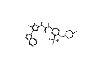 CN1CCN(Cc2ccc(NC(=O)Nc3cc(-c4cnc5cnccn45)n(C)n3)cc2C(F)(F)F)CC1